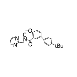 CC(C)(C)c1ccc(-c2ccc3c(c2)C(=O)N(Cc2ncccn2)CCO3)cc1